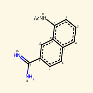 CC(=O)Nc1cccc2ccc(C(=N)N)cc12